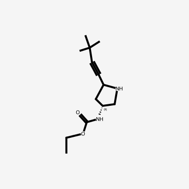 CCOC(=O)N[C@H]1CNC(C#CC(C)(C)C)C1